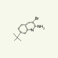 CC(C)(C)c1ccc2cc(Br)c(N)nc2c1